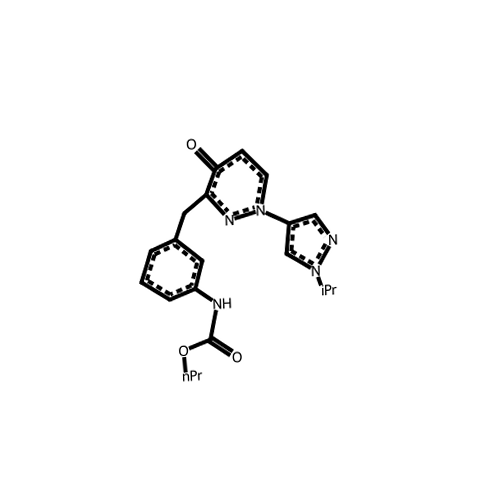 CCCOC(=O)Nc1cccc(Cc2nn(-c3cnn(C(C)C)c3)ccc2=O)c1